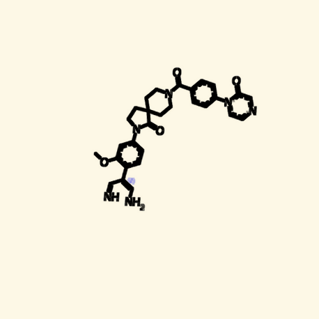 COc1cc(N2CCC3(CCN(C(=O)c4ccc(-n5ccncc5=O)cc4)CC3)C2=O)ccc1/C(C=N)=C/N